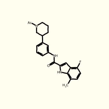 CC(=O)N1CCCC(c2cccc(NC(=O)c3cc4c(F)ccc(C)c4[nH]3)c2)C1